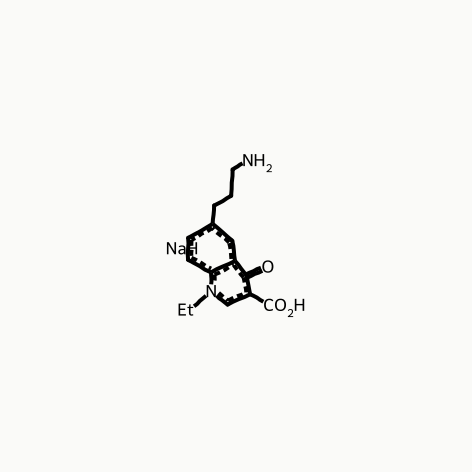 CCn1cc(C(=O)O)c(=O)c2cc(CCCN)ccc21.[NaH]